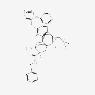 O=C(NCc1ccccc1)[C@H]1CC23CC[C@]1(O)C1Oc4c(Oc5nnnn5-c5ccccc5)ccc5c4[C@@]12CCN(CC1CC1)[C@@H]3C5